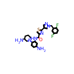 Nc1ccc(N2CCC[C@@H](N)C2)c(NC(=O)c2csc(-c3cnn(Cc4cc(F)ccc4F)c3)n2)c1